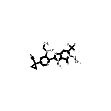 CC[S@@+]([O-])c1cc(C2(C#N)CC2)cnc1-c1nc2cc(C(F)(F)F)n(OC)c(=O)c2n1C